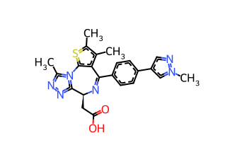 Cc1sc2c(c1C)C(c1ccc(-c3cnn(C)c3)cc1)=N[C@@H](CC(=O)O)c1nnc(C)n1-2